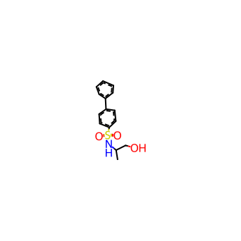 CC(CO)NS(=O)(=O)c1ccc(-c2ccccc2)cc1